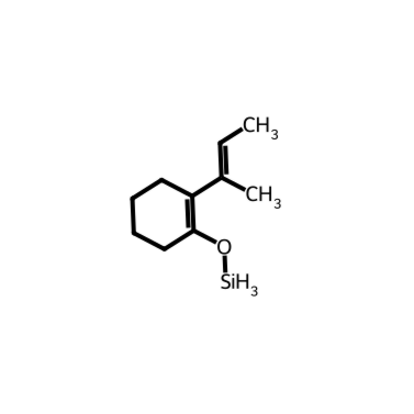 CC=C(C)C1=C(O[SiH3])CCCC1